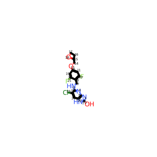 Oc1nc2nc(NCc3c(F)cc(OCC4CCO4)cc3F)c(Cl)cc2[nH]1